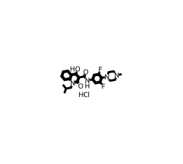 CC(C)Cn1c(=O)c(C(=O)Nc2cc(F)c(N3CCN(C)CC3)c(F)c2)c(O)c2ccccc21.Cl